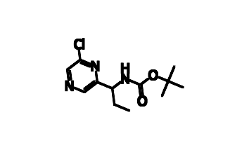 CCC(NC(=O)OC(C)(C)C)c1cncc(Cl)n1